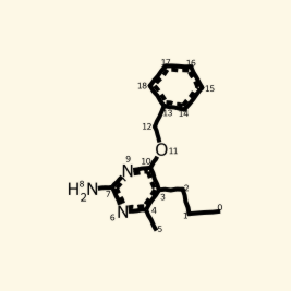 CCCc1c(C)nc(N)nc1OCc1ccccc1